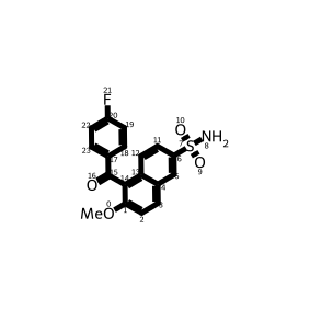 COc1ccc2cc(S(N)(=O)=O)ccc2c1C(=O)c1ccc(F)cc1